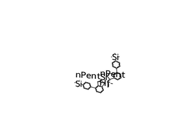 CCCCC[Si]1(CCCCC)C2=Cc3c(-c4ccc([Si](C)(C)C)cc4)cccc3[CH]2[Hf]([CH3])([CH3])[CH]2C1=Cc1c(-c3ccc([Si](C)(C)C)cc3)cccc12